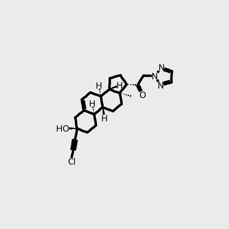 C[C@]12CC[C@H]3[C@@H](CC=C4C[C@@](O)(C#CCl)CC[C@@H]43)[C@@H]1CC[C@@H]2C(=O)Cn1nccn1